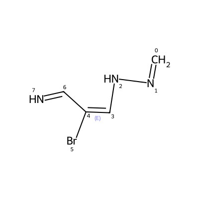 C=NN/C=C(/Br)C=N